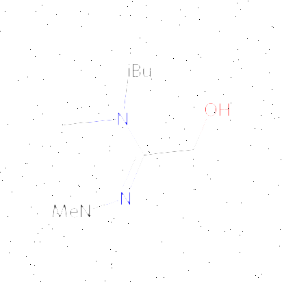 CCC(C)N(C)/C(CO)=N\NC